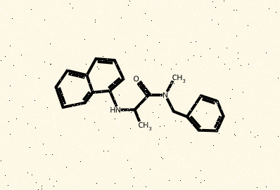 CC(Nc1cccc2ccccc12)C(=O)N(C)Cc1ccccc1